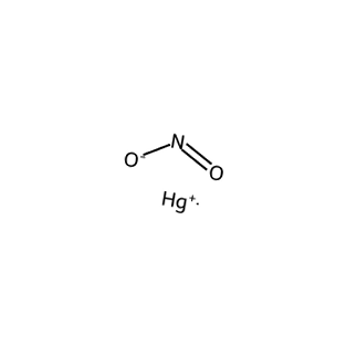 O=N[O-].[Hg+]